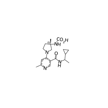 Cc1cc(N2CC[C@](C)(NC(=O)O)C2)c(C(=O)NC(C)C2CC2)cn1